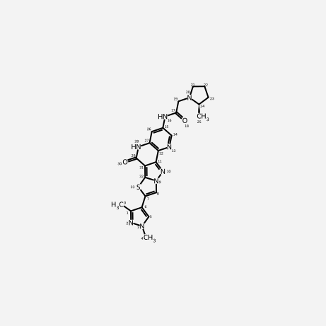 Cc1nn(C)cc1-c1cn2nc3c4ncc(NC(=O)CN5CCC[C@H]5C)cc4[nH]c(=O)c3c2s1